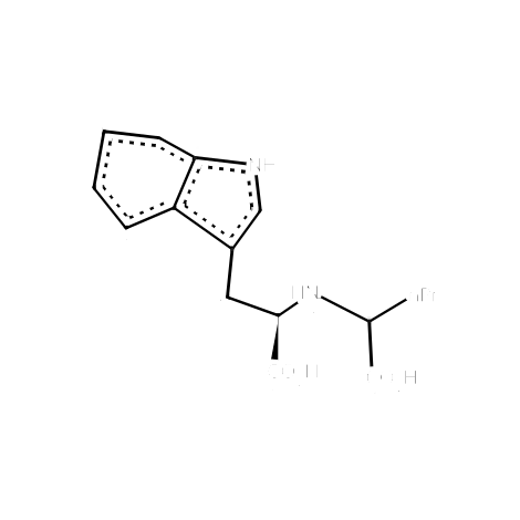 CCCC(N[C@H](Cc1c[nH]c2ccccc12)C(=O)O)C(=O)O